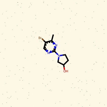 Cc1nc(N2CCC(O)C2)ncc1Br